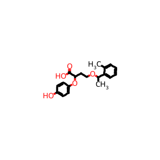 Cc1ccccc1C(C)OCCC(Oc1ccc(O)cc1)C(=O)O